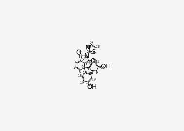 O=C1C2=CC=CC(c3ccc(O)cc3)(c3ccc(O)cc3)C2C(=O)N1c1nccs1